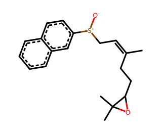 CC(=CC[S+]([O-])c1ccc2ccccc2c1)CCC1OC1(C)C